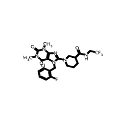 Cn1c(=O)c2c(nc(N3CCCC(C(=O)NCC(F)(F)F)C3)n2Cc2c(F)cccc2Cl)n(C)c1=O